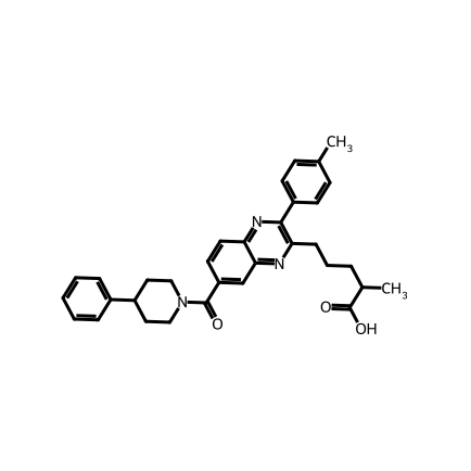 Cc1ccc(-c2nc3ccc(C(=O)N4CCC(c5ccccc5)CC4)cc3nc2CCCC(C)C(=O)O)cc1